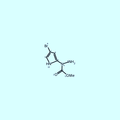 COC(=O)N(N)c1cc(Br)c[nH]1